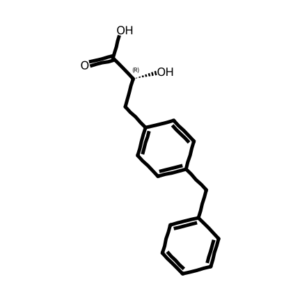 O=C(O)[C@H](O)Cc1ccc(Cc2ccccc2)cc1